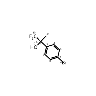 O[C@](I)(c1ccc(Br)cc1)C(F)(F)F